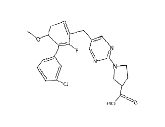 COC1CC=C(Cc2cnc(N3CCC(C(=O)O)C3)nc2)C(F)=C1c1cccc(Cl)c1